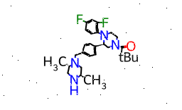 C[C@@H]1CN(Cc2ccc([C@@H]3CN(C(=O)C(C)(C)C)CCN3c3ccc(F)cc3F)cc2)[C@@H](C)CN1